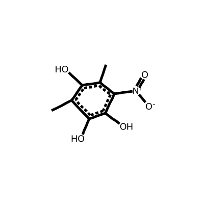 Cc1c(O)c(C)c([N+](=O)[O-])c(O)c1O